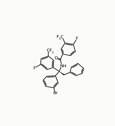 O=C(N[C@](Cc1ccccc1)(c1cccc(Br)c1)c1cc(F)cc(C(F)(F)F)c1)c1ccc(F)c(C(F)(F)F)c1